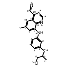 Cc1cc(Nc2cccc(SC(C)CCl)c2)c2ncnc(C=O)c2c1